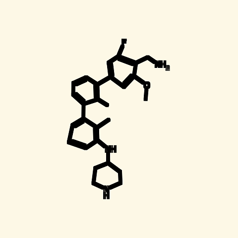 COc1cc(-c2cccc(-c3cccc(NC4CCNCC4)c3C)c2C)cc(F)c1CN